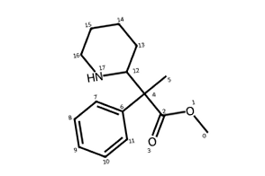 COC(=O)C(C)(c1ccccc1)C1CCCCN1